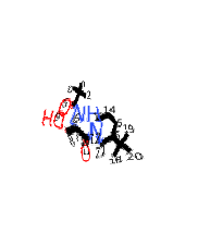 CC(C)(C)C(=O)NC(CO)C(=O)N1CCCC(C(C)(C)C)C1